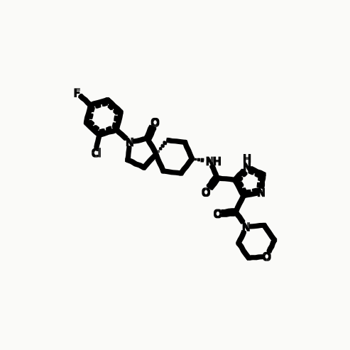 O=C(N[C@H]1CC[C@@]2(CCN(c3ccc(F)cc3Cl)C2=O)CC1)c1[nH]cnc1C(=O)N1CCOCC1